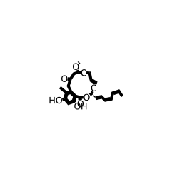 C\C=C/C=C\C=C\[C@H]1C/C=C/CCC(OC)CC(=O)Cc2c(C)c(O)cc(O)c2C(=O)O1